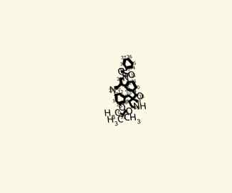 CC(C)(C)C(=O)OC1CC(Cc2ccccc2)(C(=O)c2ccc3c(c2)c(C#N)cn3S(=O)(=O)c2ccccc2)CN1